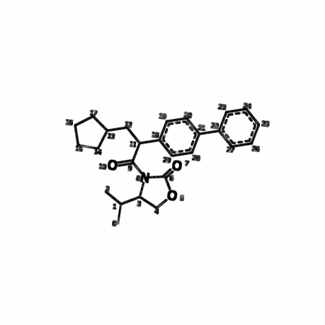 CC(C)C1COC(=O)N1C(=O)C(CC1CCCC1)c1ccc(-c2ccccc2)cc1